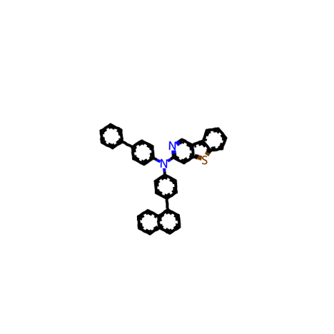 c1ccc(-c2ccc(N(c3ccc(-c4cccc5ccccc45)cc3)c3cc4sc5ccccc5c4cn3)cc2)cc1